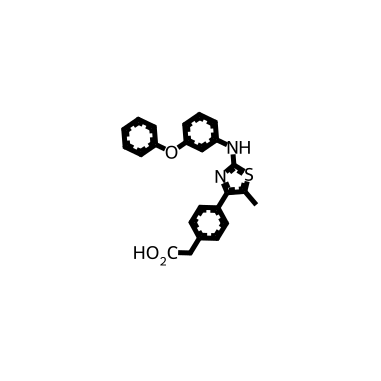 Cc1sc(Nc2cccc(Oc3ccccc3)c2)nc1-c1ccc(CC(=O)O)cc1